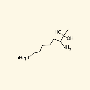 CCCCCCCCCCCCC(N)C(C)(O)O